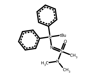 CN(C)S(C)(=O)=N[Si](c1ccccc1)(c1ccccc1)C(C)(C)C